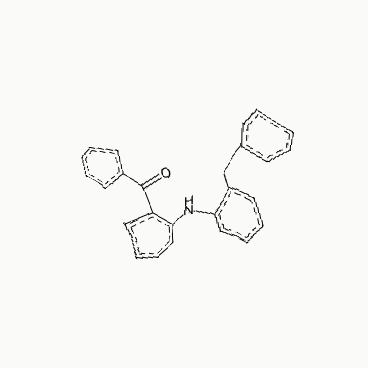 O=C(c1ccccc1)c1ccccc1Nc1ccccc1Cc1ccccc1